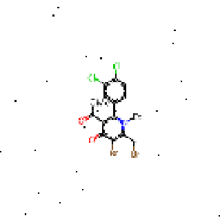 CCn1c(CBr)c(Br)c(=O)c(C(=O)OC)c1-c1ccc(Cl)c(Cl)c1